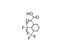 O=C(O)C(=O)c1cccc(C(F)(F)F)c1C(F)(F)F